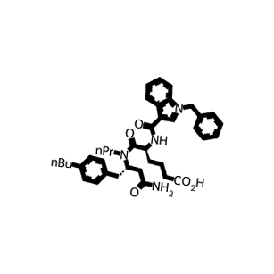 CCCCc1ccc(C[C@@H](CC(N)=O)N(CCC)C(=O)[C@H](CCCC(=O)O)NC(=O)c2cn(Cc3ccccc3)c3ccccc23)cc1